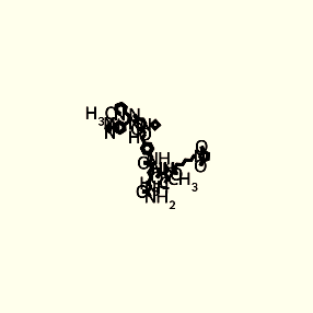 Cc1cccc(-c2nc(CN(C(=O)OCc3ccc(NC(=O)C(CCCNC(N)=O)NC(=O)C(NC(=O)CCCCCN4C(=O)C=CC4=O)C(C)C)cc3)C3CCC3)[nH]c2-c2ccc3ncnn3c2)n1